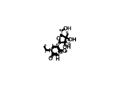 CCn1cc([C@@H]2O[C@H](CO)C(C)(O)[C@@]2(C)O)c(=O)[nH]c1=O